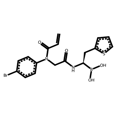 C=CC(=O)N(CC(=O)N[C@@H](Cc1cccs1)B(O)O)c1ccc(Br)cc1